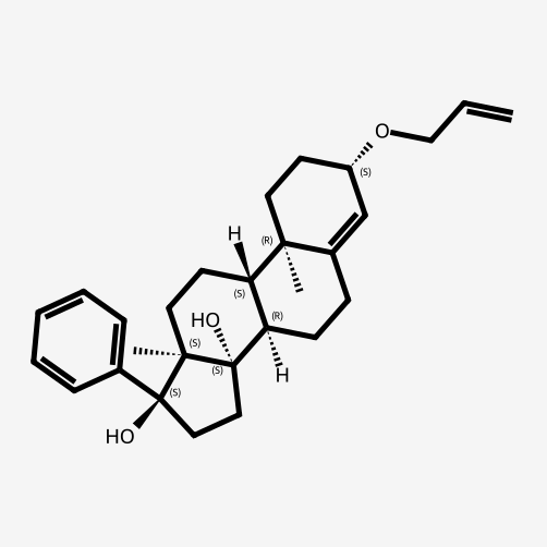 C=CCO[C@@H]1C=C2CC[C@@H]3[C@H](CC[C@]4(C)[C@@](O)(c5ccccc5)CC[C@]34O)[C@@]2(C)CC1